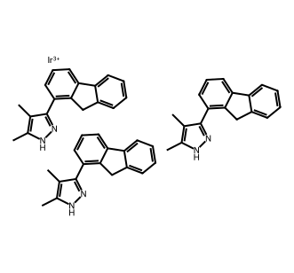 Cc1[nH]nc(-c2cccc3c2Cc2ccccc2-3)c1C.Cc1[nH]nc(-c2cccc3c2Cc2ccccc2-3)c1C.Cc1[nH]nc(-c2cccc3c2Cc2ccccc2-3)c1C.[Ir+3]